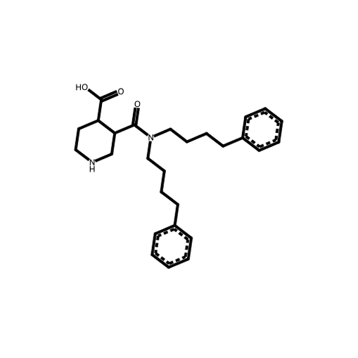 O=C(O)C1CCNCC1C(=O)N(CCCCc1ccccc1)CCCCc1ccccc1